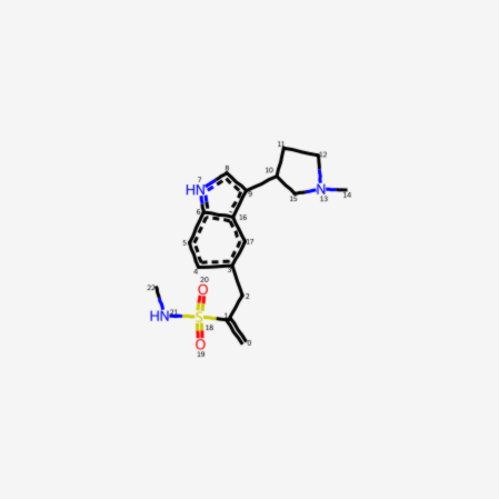 C=C(Cc1ccc2[nH]cc(C3CCN(C)C3)c2c1)S(=O)(=O)NC